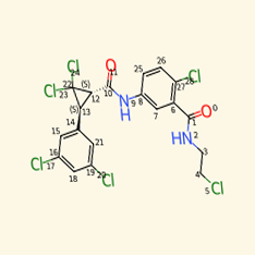 O=C(NCCCl)c1cc(NC(=O)[C@@H]2[C@@H](c3cc(Cl)cc(Cl)c3)C2(Cl)Cl)ccc1Cl